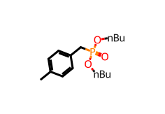 CCCCOP(=O)(Cc1ccc(C)cc1)OCCCC